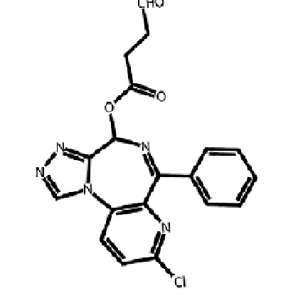 O=CCCC(=O)OC1N=C(c2ccccc2)c2nc(Cl)ccc2-n2cnnc21